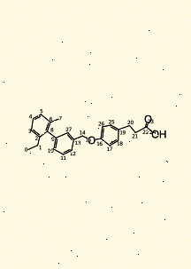 CCc1cccc(C)c1-c1cccc(COc2ccc(CCC(=O)O)cc2)c1